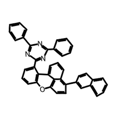 c1ccc(-c2nc(-c3ccccc3)nc(-c3cccc4c3-c3cccc5c(-c6ccc7ccccc7c6)ccc(c35)O4)n2)cc1